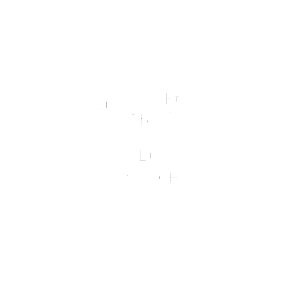 C[CH2][Pb+]([CH2]C)[CH2]C.C[O-]